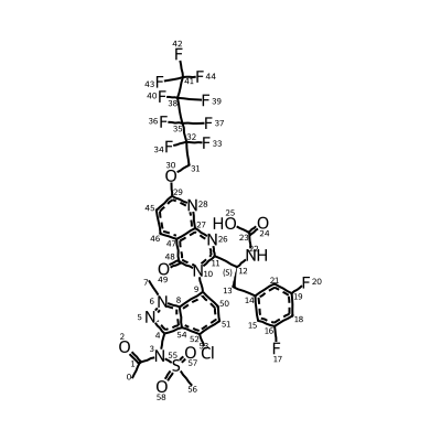 CC(=O)N(c1nn(C)c2c(-n3c([C@H](Cc4cc(F)cc(F)c4)NC(=O)O)nc4nc(OCC(F)(F)C(F)(F)C(F)(F)C(F)(F)F)ccc4c3=O)ccc(Cl)c12)S(C)(=O)=O